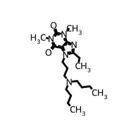 CCCCN(CCCC)CCCn1c(CC)nc2c1c(=O)n(C)c(=O)n2C